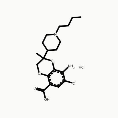 CCCCN1CCC(C2(C)COc3c(C(=O)O)cc(Cl)c(N)c3O2)CC1.Cl